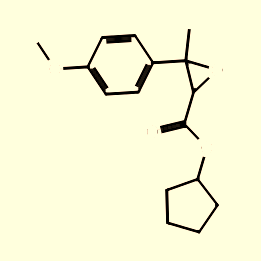 COc1ccc(C2(C)OC2C(=O)OC2CCCC2)cc1